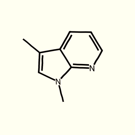 Cc1cn(C)c2ncccc12